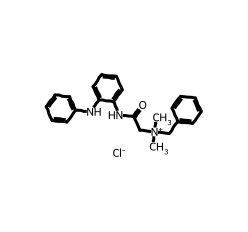 C[N+](C)(CC(=O)Nc1ccccc1Nc1ccccc1)Cc1ccccc1.[Cl-]